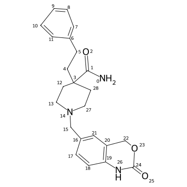 NC(=O)C1(CCc2ccccc2)CCN(Cc2ccc3c(c2)COC(=O)N3)CC1